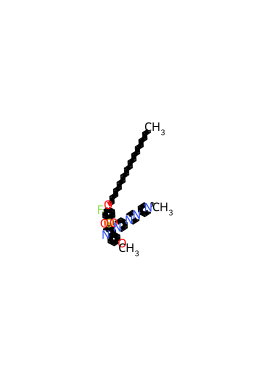 CCCCCCCCCCCCCCCCCCCCCCOc1ccc(S(=O)(=O)c2cnc3ccc(OC)cc3c2N2CCC(N3CCN(C4CCN(CC)CC4)CC3)CC2)cc1F